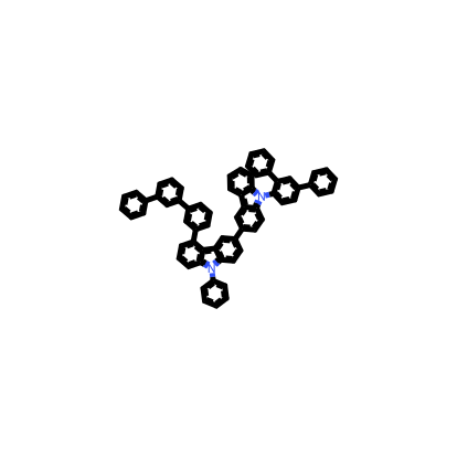 c1ccc(-c2cccc(-c3cccc(-c4cccc5c4c4cc(-c6ccc7c(c6)c6ccccc6n7-c6ccc(-c7ccccc7)cc6-c6ccccc6)ccc4n5-c4ccccc4)c3)c2)cc1